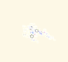 Cc1c(F)c(N)cc(C(=O)Nc2cc(-n3cc(C(=O)N4CCN(C)CC4)nn3)c(F)cc2N2C[C@@H](C)N(C)[C@@H](C)C2)c1Cl